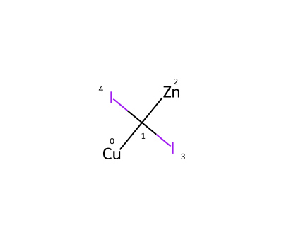 [Cu][C]([Zn])(I)I